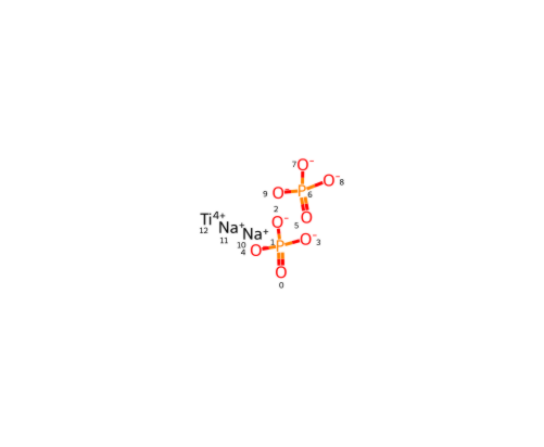 O=P([O-])([O-])[O-].O=P([O-])([O-])[O-].[Na+].[Na+].[Ti+4]